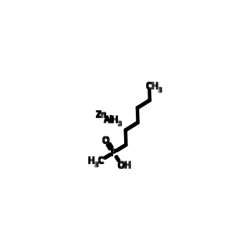 CCCCCCP(C)(=O)O.[AlH3].[Zn]